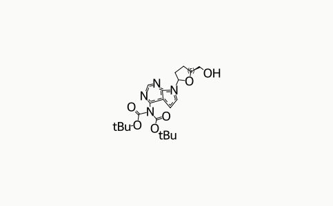 CC(C)(C)OC(=O)N(C(=O)OC(C)(C)C)c1ncnc2c1ccn2C1CC[C@@H](CO)O1